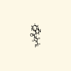 O=C(c1cnn2cccnc12)N1CC(CF)C1